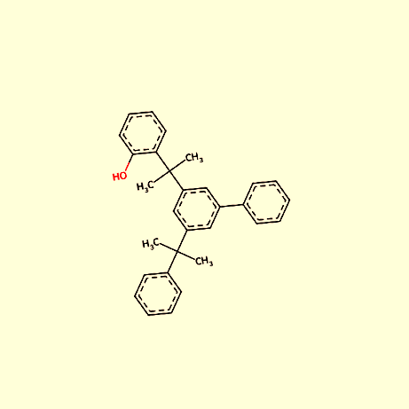 CC(C)(c1ccccc1)c1cc(-c2ccccc2)cc(C(C)(C)c2ccccc2O)c1